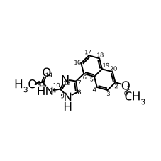 COc1ccc2c(-c3c[nH]c(NC(C)=O)n3)cccc2c1